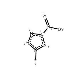 O=[N+]([O-])n1nnc(F)n1